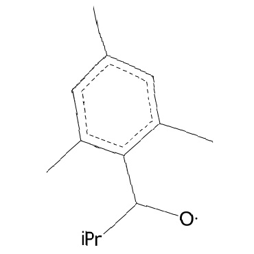 Cc1cc(C)c(C([O])C(C)C)c(C)c1